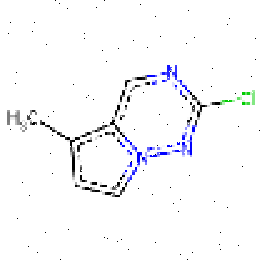 Cc1ccn2nc(Cl)ncc12